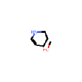 C1=CNCCC1.CO